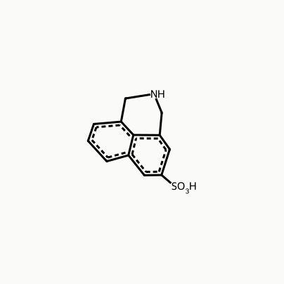 O=S(=O)(O)c1cc2c3c(cccc3c1)CNC2